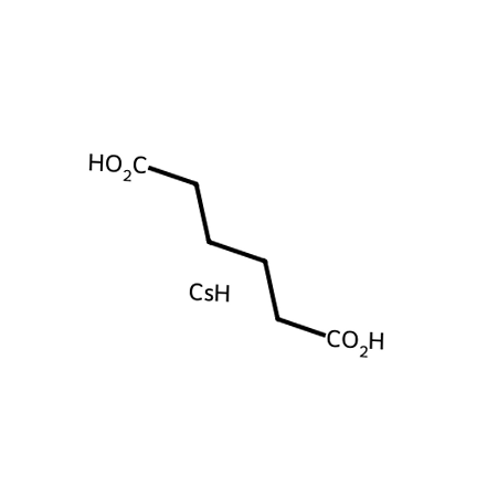 O=C(O)CCCCC(=O)O.[CsH]